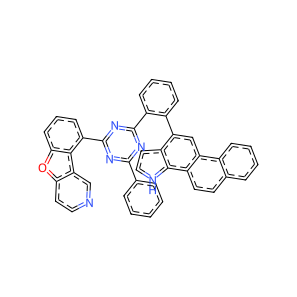 c1ccc(-c2nc(-c3ccccc3-c3cc4c5ccccc5ccc4c4[nH]ccc34)nc(-c3cccc4oc5ccncc5c34)n2)cc1